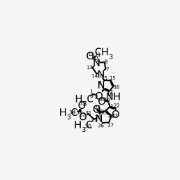 CCOc1nc(N2CCN(C(C)=O)CC2)ccc1NC(=O)c1coc2c1C(=O)N([C@@H](C)COC(C)=O)CC2